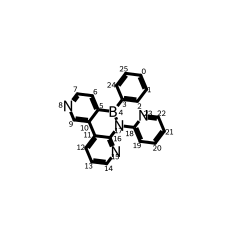 c1ccc(B2c3ccncc3-c3cccnc3N2c2ccccn2)cc1